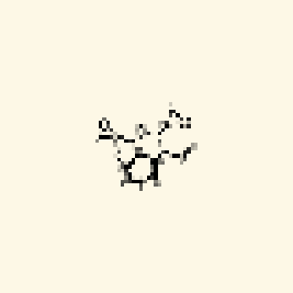 C(OCC1CO1)C1CO1.C=CCc1cccc(C)c1